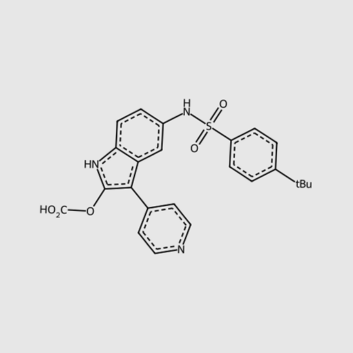 CC(C)(C)c1ccc(S(=O)(=O)Nc2ccc3[nH]c(OC(=O)O)c(-c4ccncc4)c3c2)cc1